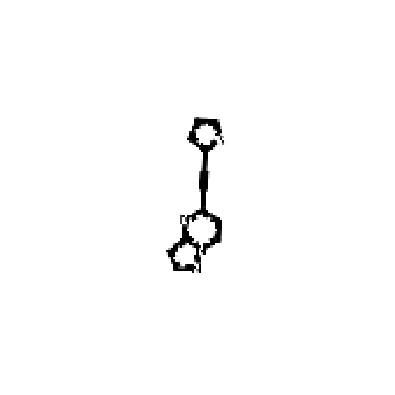 C(#Cc1cccs1)c1ccn2nccc2n1